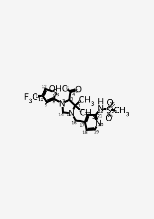 CC1(C)C(C(=O)C=O)N(c2cc(C(F)(F)F)cs2)CN1Cc1ccnc(NS(C)(=O)=O)c1